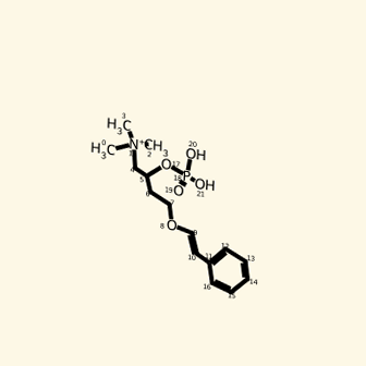 C[N+](C)(C)CC(CCOC=Cc1ccccc1)OP(=O)(O)O